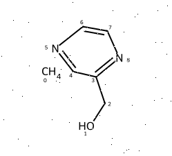 C.OCc1cnccn1